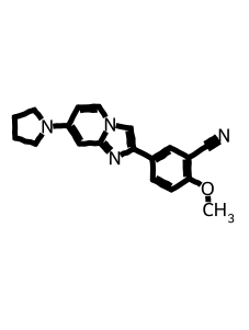 COc1ccc(-c2cn3ccc(N4CCCC4)cc3n2)cc1C#N